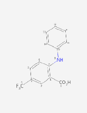 O=C(O)c1cc(C(F)(F)F)ccc1Nc1ccccc1